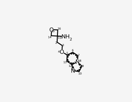 NC1(CCOc2ccn3ccnc3c2)COC1